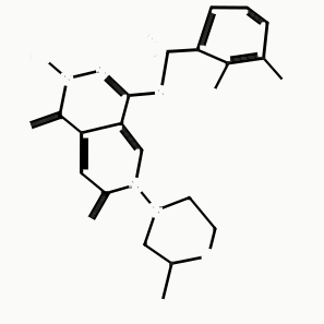 CC1CN(n2cc3c(N[C@H](C)c4cccc(C(F)(F)F)c4F)nn(C)c(=O)c3cc2=O)CCO1